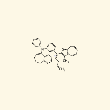 C=CC/C=C(/c1cccc(N(C2=CCCCc3ccccc32)c2ccccc2)c1)c1sc2c(c1C)C=CC=CC2